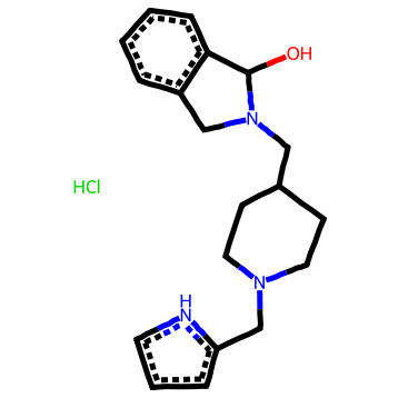 Cl.OC1c2ccccc2CN1CC1CCN(Cc2ccc[nH]2)CC1